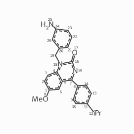 COc1ccc2c(c1)c(-c1ccc(C(C)C)cc1)nc(=O)n2Cc1cccc(N)c1